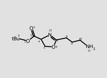 CC(C)(C)OC(=O)C1COC(CCCN)=N1